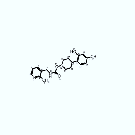 Cc1ncccc1CNC(=O)ON1CCC(c2ccc(O)cc2O)CC1